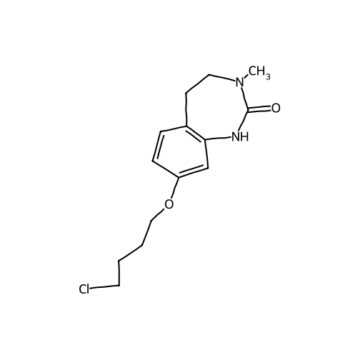 CN1CCc2ccc(OCCCCCl)cc2NC1=O